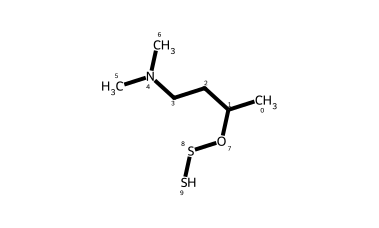 CC(CCN(C)C)OSS